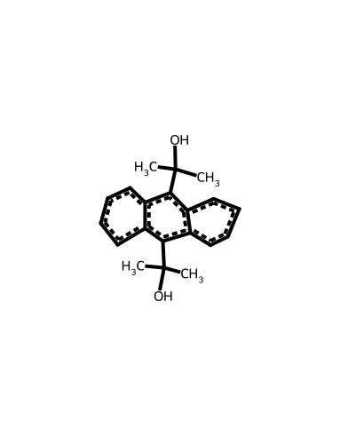 CC(C)(O)c1c2ccccc2c(C(C)(C)O)c2ccccc12